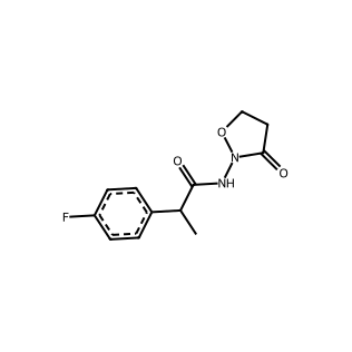 CC(C(=O)NN1OCCC1=O)c1ccc(F)cc1